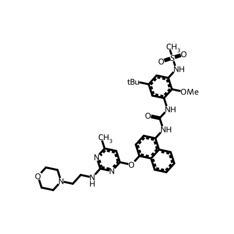 COc1c(NC(=O)Nc2ccc(Oc3cc(C)nc(NCCN4CCOCC4)n3)c3ccccc23)cc(C(C)(C)C)cc1NS(C)(=O)=O